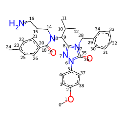 COc1ccc(-n2nc(C(C(C)C)N(CCCN)C(=O)c3ccc(C)cc3)n(Cc3ccccc3)c2=O)cc1